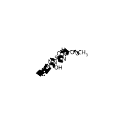 COCOC[C@H]1C[C@H]2COc3c(Sc4cnc(N5CCC6(CC5)COC5(CCC5)C6)c(CO)n4)ccnc3N2C1